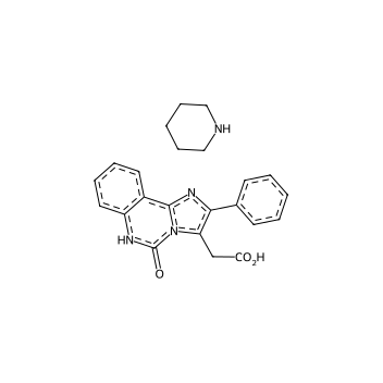 C1CCNCC1.O=C(O)Cc1c(-c2ccccc2)nc2c3ccccc3[nH]c(=O)n12